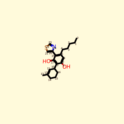 CCCCCc1cc(O)c(C2C=C(C)CCC2)c(O)c1-c1cscn1